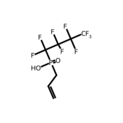 C=CCP(=O)(O)C(F)(F)C(F)(F)C(F)(F)C(F)(F)F